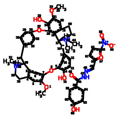 COc1cc2c3cc1Oc1cc(ccc1O)C[C@@H]1c4c(cc(OC)c(O)c4Oc4ccc(cc4)C[C@@H]3N(C)CC2)CC[N+]1(C)C.O=C(N/N=C/c1ccc([N+](=O)[O-])o1)c1ccc(O)cc1